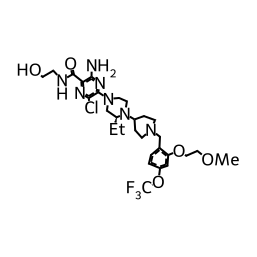 CC[C@H]1CN(c2nc(N)c(C(=O)NCCO)nc2Cl)CCN1C1CCN(Cc2ccc(OC(F)(F)F)cc2OCCOC)CC1